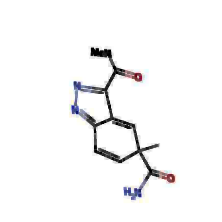 CNC(=O)C1=NN=C2C=CC(C)(C(N)=O)C=C21